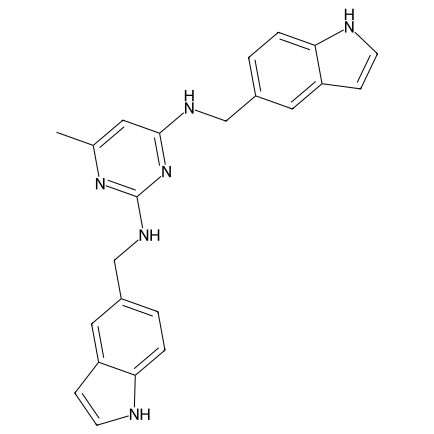 Cc1cc(NCc2ccc3[nH]ccc3c2)nc(NCc2ccc3[nH]ccc3c2)n1